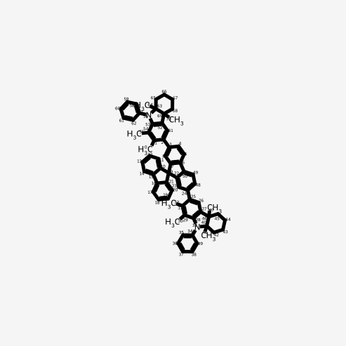 Cc1c(-c2ccc3c(c2)C2(c4ccccc4-c4ccccc42)c2cc(-c4cc5c(c(C)c4C)N(c4ccccc4)C4(C)CCCCC54C)ccc2-3)cc2c(c1C)N(c1ccccc1)C1(C)CCCCC21C